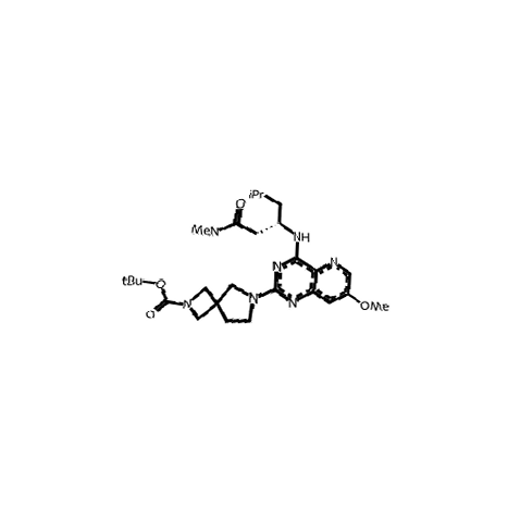 CNC(=O)C[C@H](CC(C)C)Nc1nc(N2CCC3(CN(C(=O)OC(C)(C)C)C3)C2)nc2cc(OC)cnc12